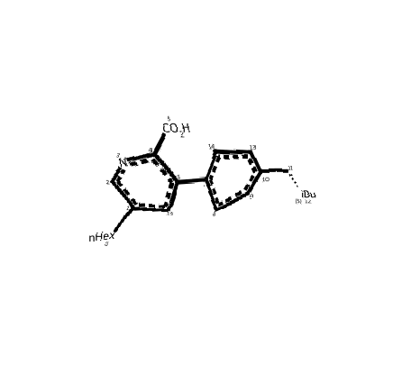 CCCCCCc1cnc(C(=O)O)c(-c2ccc(C[C@@H](C)CC)cc2)c1